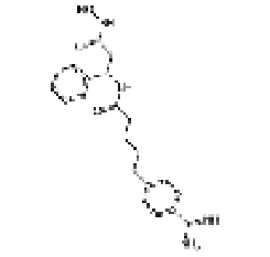 N=C(N)c1ccc(CCCCC(=O)NC(CC(=O)NO)c2ccccc2)cc1